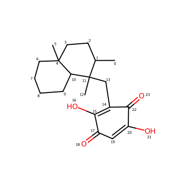 CC1CCC2(C)CCCCC2C1(C)CC1=C(O)C(=O)C=C(O)C1=O